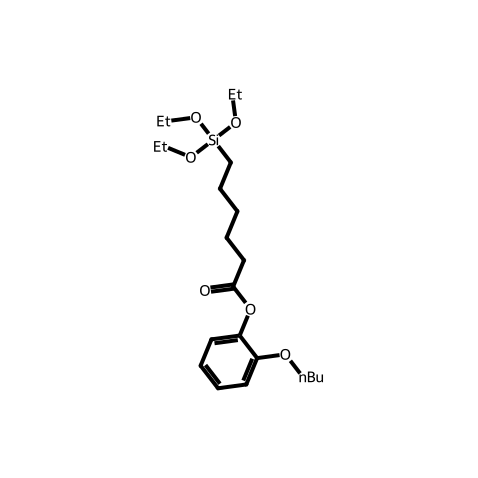 CCCCOc1ccccc1OC(=O)CCCCC[Si](OCC)(OCC)OCC